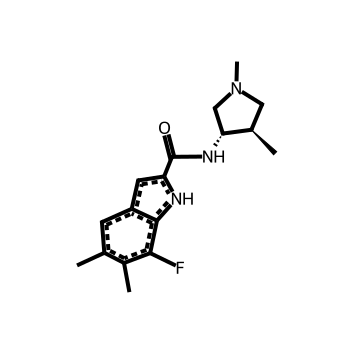 Cc1cc2cc(C(=O)N[C@@H]3CN(C)C[C@H]3C)[nH]c2c(F)c1C